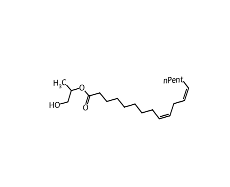 CCCCC/C=C\C/C=C\CCCCCCCC(=O)OC(C)CO